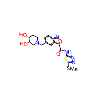 CSc1nnc(NC(=O)c2onc3ccc(CN4CC[C@@H](O)[C@H](O)C4)cc23)s1